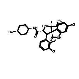 CC(C)(C)C[C@]1(C)N[C@@H](C(=O)N[C@H]2CC[C@H](O)CC2)[C@H](c2cccc(Cl)c2F)[C@]12C(=O)Nc1cc(Cl)ccc12